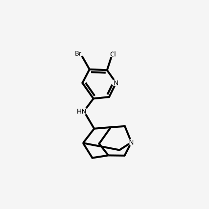 Clc1ncc(NC2C3CC4CC2CN(C4)C3)cc1Br